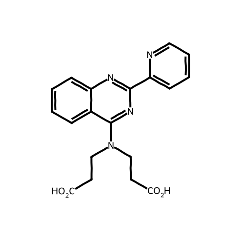 O=C(O)CCN(CCC(=O)O)c1nc(-c2ccccn2)nc2ccccc12